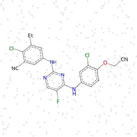 CCc1cc(Nc2ncc(F)c(Nc3ccc(OCC#N)c(Cl)c3)n2)cc(C#N)c1Cl